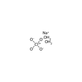 O.O.[Na+].[O-][Cl+3]([O-])([O-])[O-]